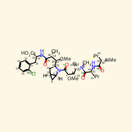 CC[C@H](C)[C@@H]([C@@H](CC(=O)N1[C@H]2C[C@H]2C[C@H]1[C@H](OC)[C@@H](C)C(=O)N[C@@H](Cc1ccccc1Cl)C(=O)O)OC)N(C)C(=O)[C@@H](NC(=O)[C@@H](NC)C(C)C)C(C)C